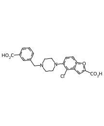 O=C(O)c1cccc(CN2CCN(c3ccc4oc(C(=O)O)cc4c3Cl)CC2)c1